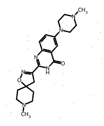 CN1CCN(c2ccc3nc(C4=NOC5(CCN(C)CC5)C4)[nH]c(=O)c3c2)CC1